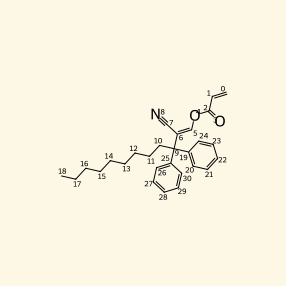 C=CC(=O)OC=C(C#N)C(CCCCCCCCC)(c1ccccc1)c1ccccc1